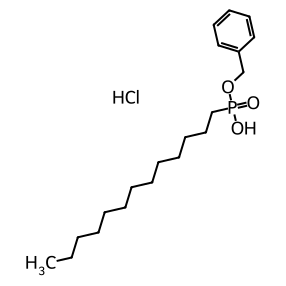 CCCCCCCCCCCCCP(=O)(O)OCc1ccccc1.Cl